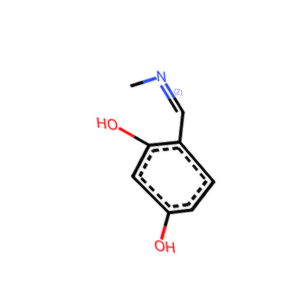 C/N=C\c1ccc(O)cc1O